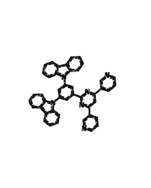 c1cncc(-c2cc(-c3cccnc3)nc(-c3cc(-n4c5ccccc5c5ccccc54)cc(-n4c5ccccc5c5ccccc54)c3)n2)c1